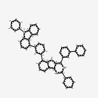 c1ccc(-c2cccc(-c3nc(-c4ccccc4)nc4c3sc3c(-c5cccc(-c6cccc7c6c6ccccc6n7-c6ccccc6)c5)cccc34)c2)cc1